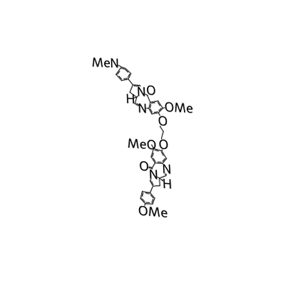 CNc1ccc(C2=CN3C(=O)c4cc(OC)c(OCCCOc5cc6c(cc5OC)C(=O)N5C=C(c7ccc(OC)cc7)C[C@H]5C=N6)cc4N=C[C@@H]3C2)cc1